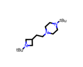 CC(C)(C)N1CCN(CCC2CN(C(C)(C)C)C2)CC1